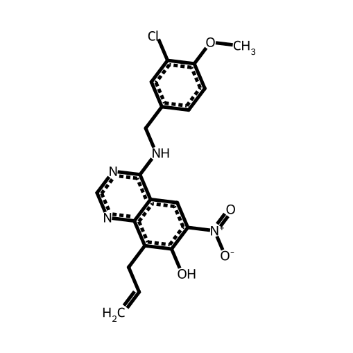 C=CCc1c(O)c([N+](=O)[O-])cc2c(NCc3ccc(OC)c(Cl)c3)ncnc12